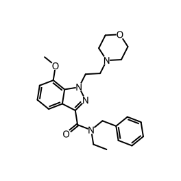 CCN(Cc1ccccc1)C(=O)c1nn(CCN2CCOCC2)c2c(OC)cccc12